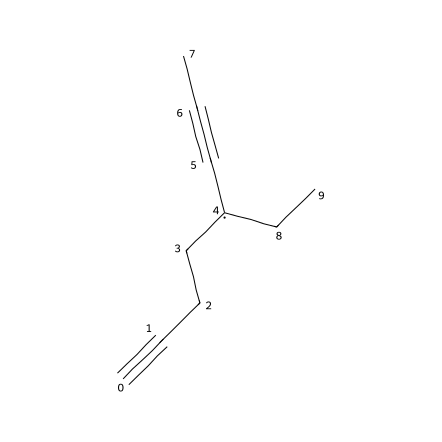 C#CCC[C](C#CC)CC